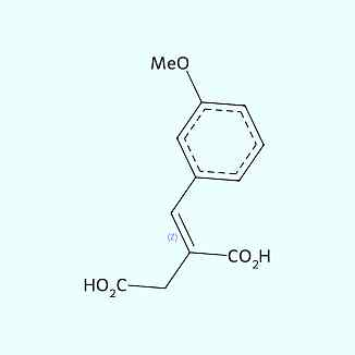 COc1cccc(/C=C(/CC(=O)O)C(=O)O)c1